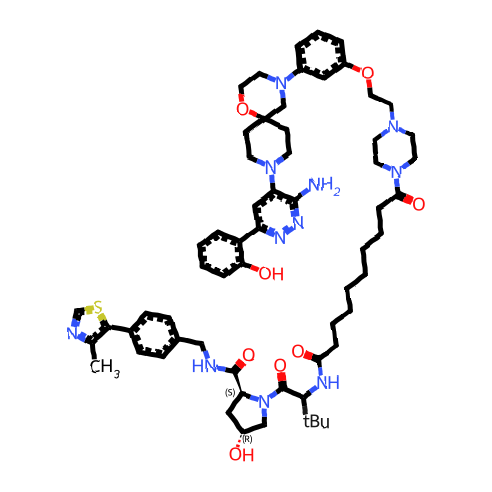 Cc1ncsc1-c1ccc(CNC(=O)[C@@H]2C[C@@H](O)CN2C(=O)C(NC(=O)CCCCCCCCC(=O)N2CCN(CCOc3cccc(N4CCOC5(CCN(c6cc(-c7ccccc7O)nnc6N)CC5)C4)c3)CC2)C(C)(C)C)cc1